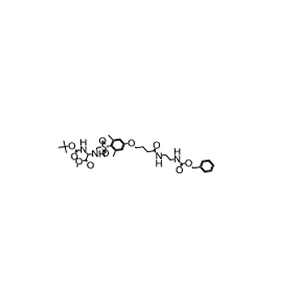 COC(=O)C(NCS(=O)(=O)c1c(C)cc(OCCCC(=O)NCCNC(=O)OCc2ccccc2)cc1C)NC(=O)OC(C)(C)C